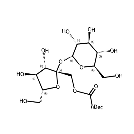 CCCCCCCCCCC(=O)OC[C@@]1(O[C@H]2O[C@H](CO)[C@@H](O)[C@H](O)[C@H]2O)O[C@H](CO)[C@@H](O)[C@@H]1O